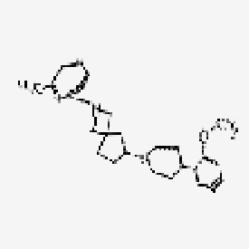 COc1ccccc1C1CCN(C2CCC3(C2)CN(c2cncc(C)n2)C3)CC1